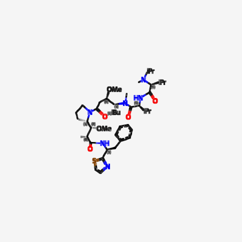 CC[C@H](C)[C@@H]([C@@H](CC(=O)N1CCC[C@H]1[C@H](OC)[C@@H](C)C(=O)N[C@@H](Cc1ccccc1)c1nccs1)OC)N(C)C(=O)[C@@H](NC(=O)[C@H](C(C)C)N(C)C(C)C)C(C)C